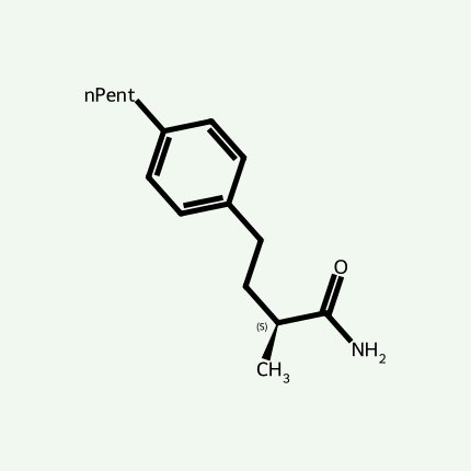 CCCCCc1ccc(CC[C@H](C)C(N)=O)cc1